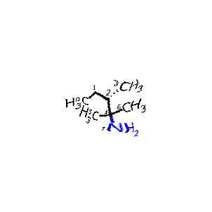 CC[C@H](C)C(C)(C)N